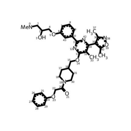 CNCC(O)COc1cccc(-c2nc(OCC3CCN(C(=O)COc4ccccc4)CC3)c(C)c(-c3c(C)noc3C)n2)c1